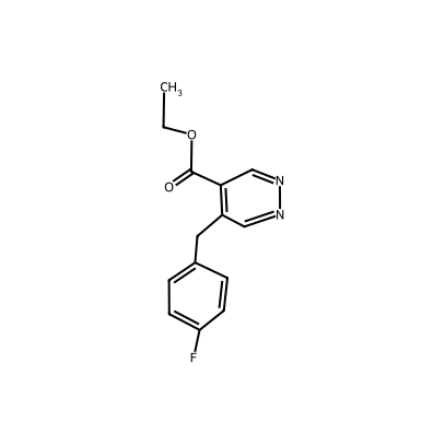 CCOC(=O)c1cnncc1Cc1ccc(F)cc1